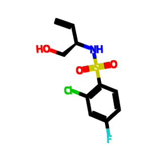 C=C[C@H](CO)NS(=O)(=O)c1ccc(F)cc1Cl